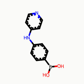 OB(O)c1ccc(Nc2ccncc2)cc1